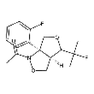 CC(=O)N1OC[C@@H]2C(C(C)(C)F)OC[C@@]21c1ccccc1F